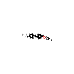 C=C[C@H]1CC[C@H](C=Cc2ccc(COCC)cc2)CC1